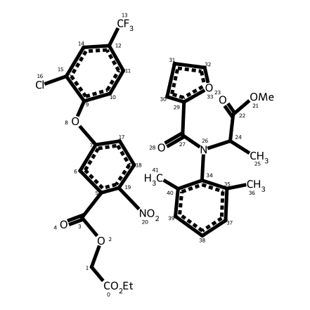 CCOC(=O)COC(=O)c1cc(Oc2ccc(C(F)(F)F)cc2Cl)ccc1[N+](=O)[O-].COC(=O)C(C)N(C(=O)c1ccco1)c1c(C)cccc1C